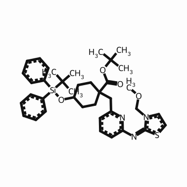 COCn1ccsc1=Nc1cccc(CC2(C(=O)OC(C)(C)C)CCC(O[Si](c3ccccc3)(c3ccccc3)C(C)(C)C)CC2)n1